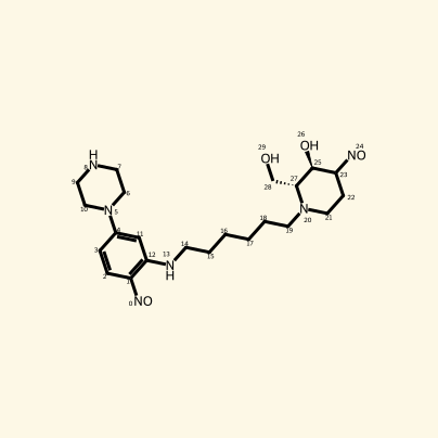 O=Nc1ccc(N2CCNCC2)cc1NCCCCCCN1CCC(N=O)[C@H](O)[C@H]1CO